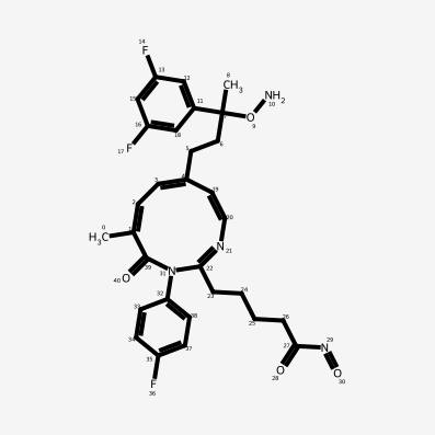 Cc1ccc(CCC(C)(ON)c2cc(F)cc(F)c2)ccnc(CCCCC(=O)N=O)n(-c2ccc(F)cc2)c1=O